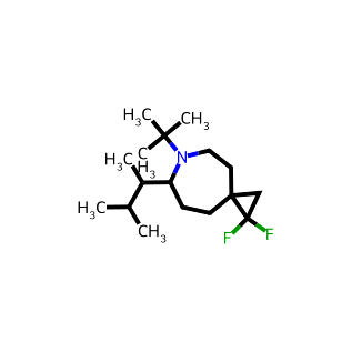 CC(C)C(C)C1CCC2(CCN1C(C)(C)C)CC2(F)F